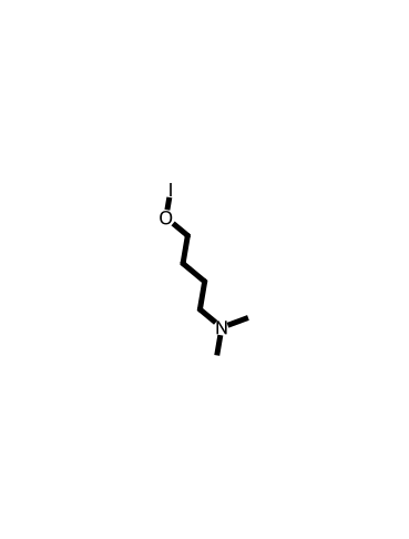 CN(C)CCCCOI